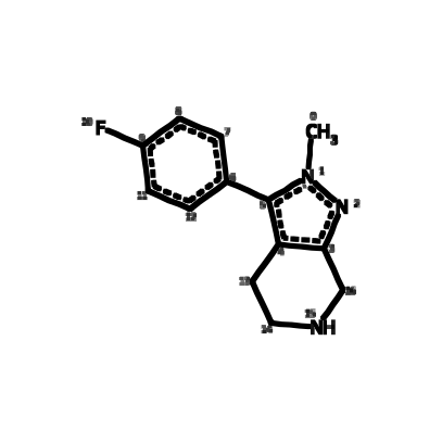 Cn1nc2c(c1-c1ccc(F)cc1)CCNC2